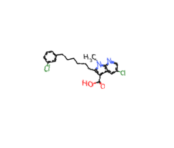 Cn1c(CCCCCCc2cccc(Cl)c2)c(C(=O)O)c2cc(Cl)cnc21